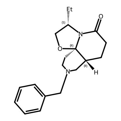 CC[C@H]1CO[C@]23CCN(Cc4ccccc4)C[C@H]2CCC(=O)N13